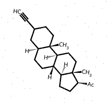 C#CC1CC[C@@]2(C)[C@@H](CC[C@@H]3[C@@H]2CC[C@]2(C)[C@@H](C(C)=O)CC[C@@H]32)C1